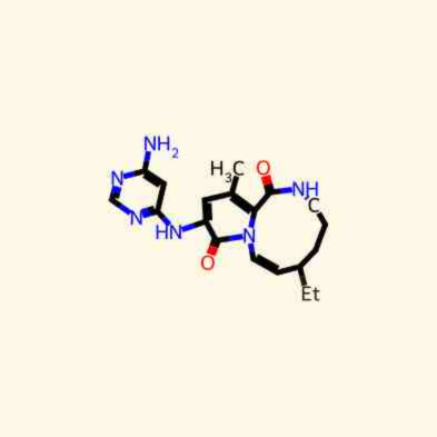 CCC1/C=C\n2c(c(C)cc(Nc3cc(N)ncn3)c2=O)C(=O)NCCC1